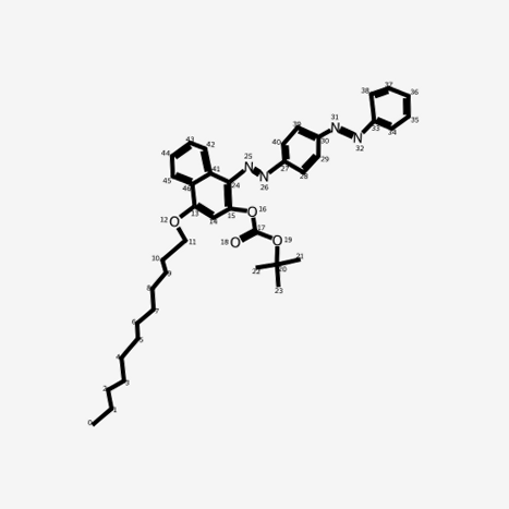 CCCCCCCCCCCCOc1cc(OC(=O)OC(C)(C)C)c(N=Nc2ccc(N=Nc3ccccc3)cc2)c2ccccc12